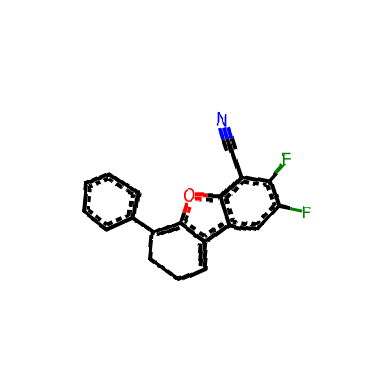 N#Cc1c(F)c(F)cc2c3c(oc12)=C(c1ccccc1)CCC=3